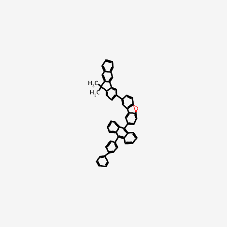 CC1(C)c2ccc(-c3ccc4oc5ccc(-c6c7ccccc7c(-c7ccc(-c8ccccc8)cc7)c7ccccc67)cc5c4c3)cc2-c2cc3ccccc3cc21